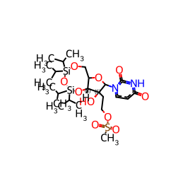 CC(C)[Si]1(C(C)C)OCC2OC(n3ccc(=O)[nH]c3=O)[C@](O)(CCOS(C)(=O)=O)[C@@H]2O[Si](C(C)C)(C(C)C)O1